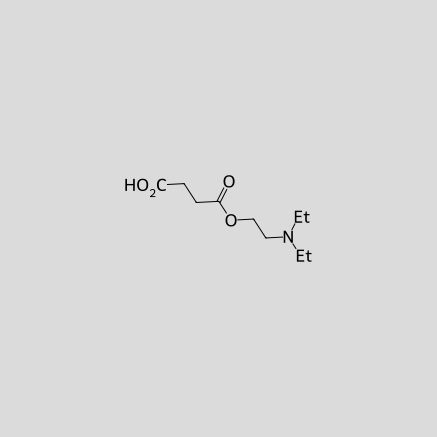 CCN(CC)CCOC(=O)CCC(=O)O